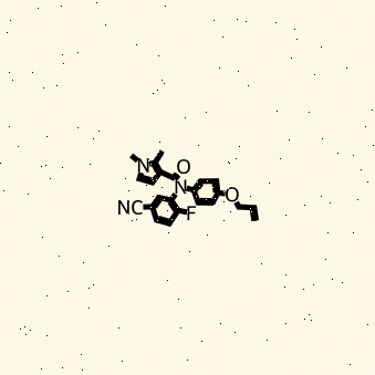 C=CCOc1ccc(N(C(=O)c2ccn(C)c2C)c2cc(C#N)ccc2F)cc1